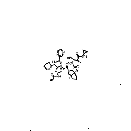 C=CC(=O)NCC[C@H](NC(=O)[C@@H](NC(=O)c1cnccn1)C1CCCCC1)C(=O)N1C[C@@H]2CCC[C@@H]2[C@H]1C(=O)N[C@@H](CCC)C(=O)C(=O)NC1CC1